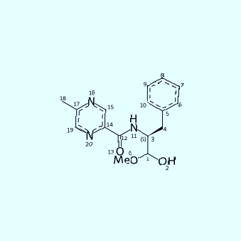 COC(O)[C@H](Cc1ccccc1)NC(=O)c1cnc(C)cn1